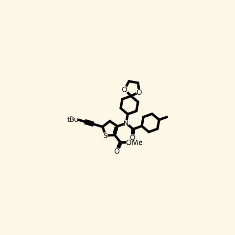 COC(=O)C1=C(N(C(=O)C2CCC(C)CC2)C2CCC3(CC2)OCCO3)CC(C#CC(C)(C)C)S1